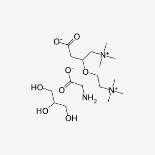 C[N+](C)(C)CCOC(CC(=O)[O-])C[N+](C)(C)C.NCC(=O)[O-].OCC(O)CO